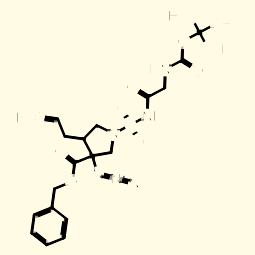 C=CCC1CN(S(=O)(=O)NC(=O)CNC(=O)OC(C)(C)C)CC1(N=[N+]=[N-])C(=O)OCc1ccccc1